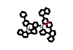 c1ccc(-c2ccc(-n3c4ccccc4c4ccc5ccccc5c43)c(-c3ccc(N(c4cccc(-c5cccc6ccccc56)c4)c4cccc(-c5c(-c6ccccc6)ccc6ccccc56)c4)cc3)c2)cc1